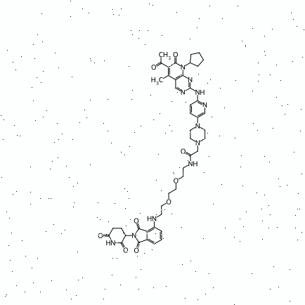 CC(=O)c1c(C)c2cnc(Nc3ccc(N4CCN(CC(=O)NCCOCCOCCNc5cccc6c5C(=O)N(C5CCC(=O)NC5=O)C6=O)CC4)cn3)nc2n(C2CCCC2)c1=O